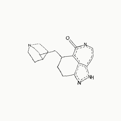 O=c1nccc2[nH]nc3c2c1C(CC1CN2CCC1CC2)CC3